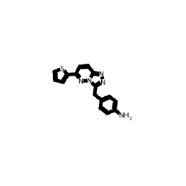 Nc1ccc(Cc2nnc3ccc(-c4cccs4)nn23)cc1